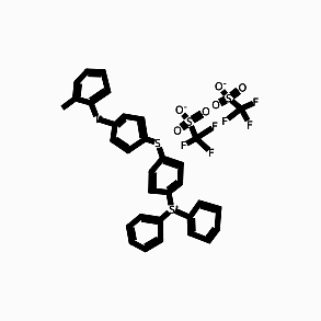 Cc1ccccc1[I+]c1ccc(Sc2ccc([S+](c3ccccc3)c3ccccc3)cc2)cc1.O=S(=O)([O-])C(F)(F)F.O=S(=O)([O-])C(F)(F)F